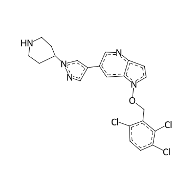 Clc1ccc(Cl)c(COn2ccc3ncc(-c4cnn(C5CCNCC5)c4)cc32)c1Cl